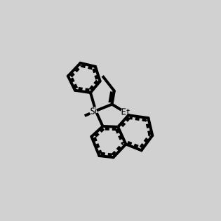 C/C=C(/CC)[Si](C)(c1ccccc1)c1cccc2ccccc12